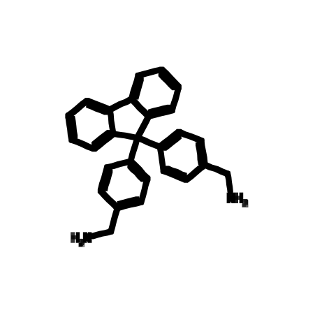 NCc1ccc(C2(c3ccc(CN)cc3)c3ccccc3-c3ccccc32)cc1